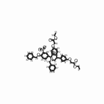 CCOC(=O)COc1ccc(C(CN(Cc2ccccc2)C(CO)c2ccc(OCc3ccccc3)c([N+](=O)[O-])c2)c2ccc(OCC(=O)OCC)cc2)cc1